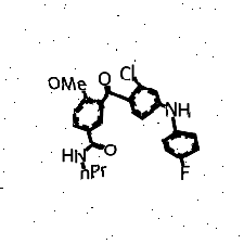 CCCNC(=O)c1ccc(OC)c(C(=O)c2ccc(Nc3ccc(F)cc3)cc2Cl)c1